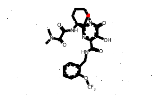 CN(C)C(=O)C(=O)NC12CCC(CC1)Cn1c2nc(C(=O)NCc2ccccc2OC(F)(F)F)c(O)c1=O